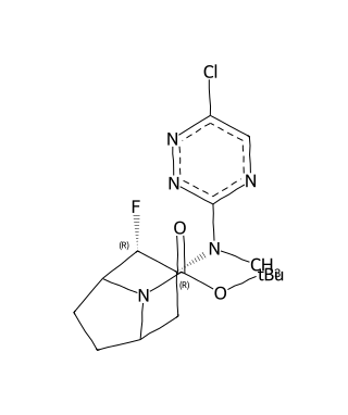 CN(c1ncc(Cl)nn1)[C@@H]1CC2CCC([C@@H]1F)N2C(=O)OC(C)(C)C